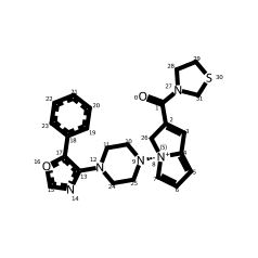 O=C(C1=CC2=CC=C[N@@+]2(N2CCN(c3ncoc3-c3ccccc3)CC2)C1)N1CCSC1